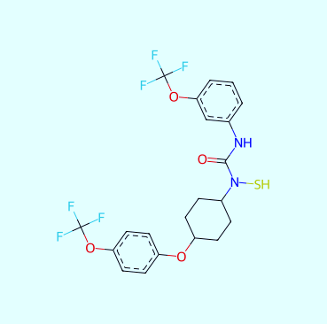 O=C(Nc1cccc(OC(F)(F)F)c1)N(S)C1CCC(Oc2ccc(OC(F)(F)F)cc2)CC1